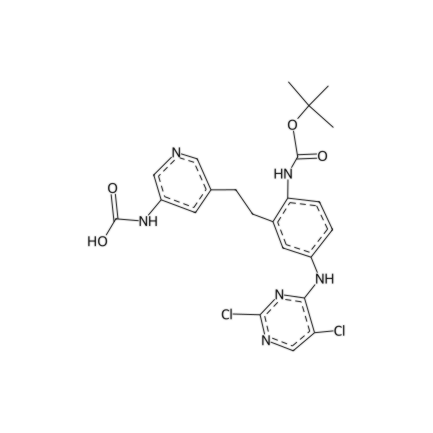 CC(C)(C)OC(=O)Nc1ccc(Nc2nc(Cl)ncc2Cl)cc1CCc1cncc(NC(=O)O)c1